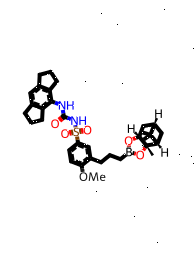 COc1ccc(S(=O)(=O)NC(=O)Nc2c3c(cc4c2CCC4)CCC3)cc1CCCB1O[C@@H]2C[C@@H]3C[C@@H](C3(C)C)[C@]2(C)O1